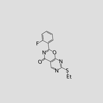 CCSc1ncc2c(=O)nc(-c3ccccc3F)oc2n1